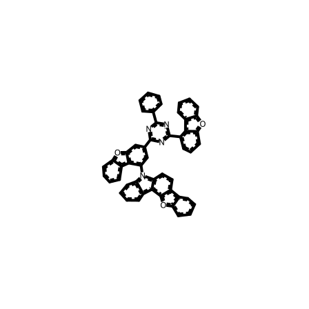 c1ccc(-c2nc(-c3cc(-n4c5ccccc5c5c6oc7ccccc7c6ccc54)c4c(c3)oc3ccccc34)nc(-c3cccc4oc5ccccc5c34)n2)cc1